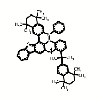 CC1(C)CCC(C)(C)c2cc(C(C)(C)c3cccc4c3Nc3cc5c(sc6ccccc65)c5c3B4N(c3ccccc3)c3cc4c(cc3-5)C(C)(C)CCC4(C)C)ccc21